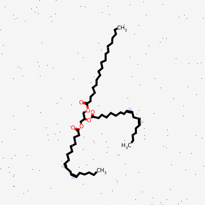 CCCCC/C=C\C/C=C\CCCCCCCC(=O)OCC(COC(=O)CCCCCCCCCCCCCCCCCCC)OC(=O)CCCCCCC/C=C\C/C=C\CCCCC